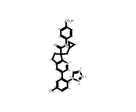 O=C(O)c1ccc(NC(=O)C2(CC3CC3)CCc3cc(-c4cc(Cl)ccc4-n4cnnn4)cnc32)cc1